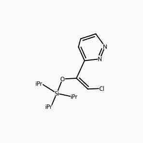 CC(C)[Si](O/C(=C/Cl)c1cccnn1)(C(C)C)C(C)C